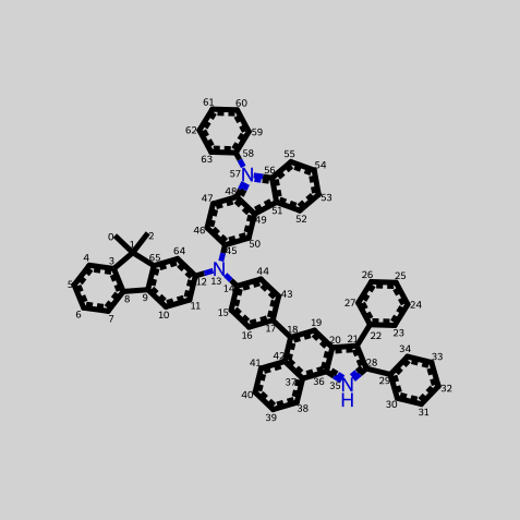 CC1(C)c2ccccc2-c2ccc(N(c3ccc(-c4cc5c(-c6ccccc6)c(-c6ccccc6)[nH]c5c5ccccc45)cc3)c3ccc4c(c3)c3ccccc3n4-c3ccccc3)cc21